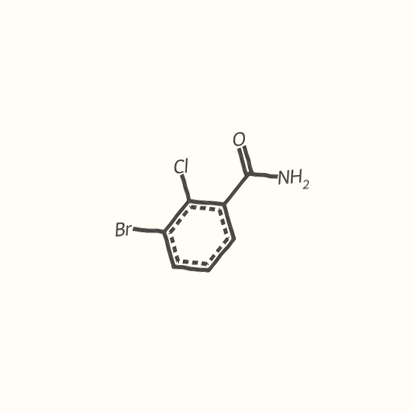 NC(=O)c1cccc(Br)c1Cl